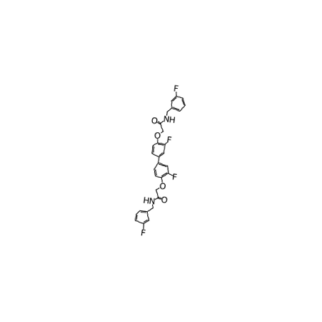 O=C(COc1ccc(-c2ccc(OCC(=O)NCc3cccc(F)c3)c(F)c2)cc1F)NCc1cccc(F)c1